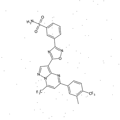 Cc1cc(-c2cc(C(F)(F)F)n3ncc(-c4nc(-c5cccc(S(N)(=O)=O)c5)no4)c3n2)ccc1C(F)(F)F